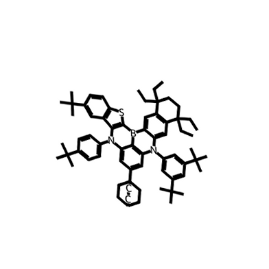 CCC1(CC)CCC(CC)(CC)c2cc3c(cc21)B1c2sc4ccc(C(C)(C)C)cc4c2N(c2ccc(C(C)(C)C)cc2)c2cc(C45CCC(CC4)CC5)cc(c21)N3c1cc(C(C)(C)C)cc(C(C)(C)C)c1